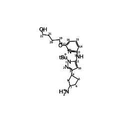 CC(C)(C)n1nc(C2CCC(N)C2)cc1Nc1cccc(OCCCCO)n1